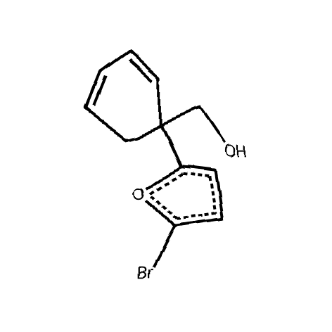 OCC1(c2ccc(Br)o2)C=CC=CC1